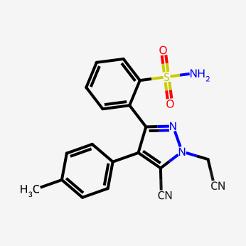 Cc1ccc(-c2c(-c3ccccc3S(N)(=O)=O)nn(CC#N)c2C#N)cc1